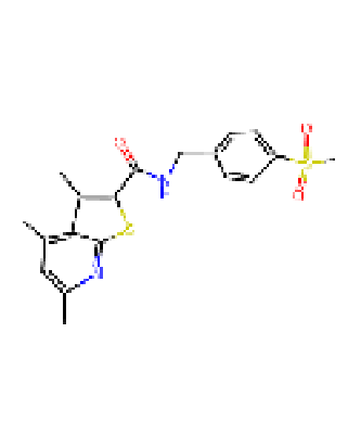 Cc1cc(C)c2c(C)c(C(=O)NCc3ccc(S(C)(=O)=O)cc3)sc2n1